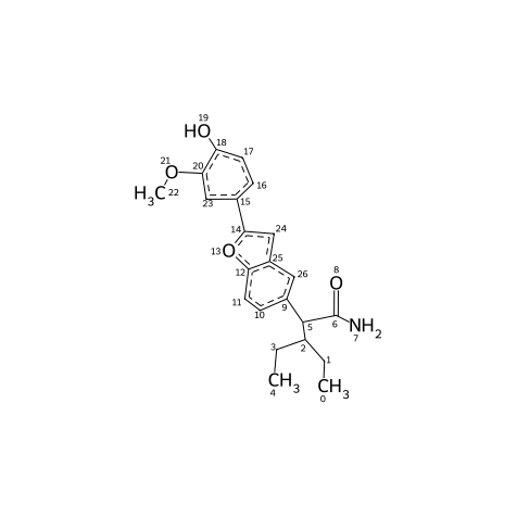 CCC(CC)C(C(N)=O)c1ccc2oc(-c3ccc(O)c(OC)c3)cc2c1